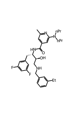 CCCN(CCC)c1cc(C(=O)N[C@@H](Cc2cc(F)cc(F)c2)[C@@H](O)CNCc2cccc(CC)c2)cc(C)n1